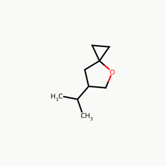 CC(C)C1COC2(CC2)C1